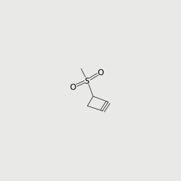 CS(=O)(=O)C1C#CC1